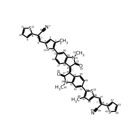 Cc1cc(/C=C(\C#N)c2cccs2)sc1-c1ccc2c(c1)N(C)C(=O)/C2=C1/C(=O)N(C)c2cc(-c3sc(/C=C(\C#N)c4cccs4)cc3C)ccc21